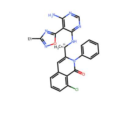 CCc1noc(-c2c(N)ncnc2N[C@@H](C)c2cc3cccc(Cl)c3c(=O)n2-c2ccccc2)n1